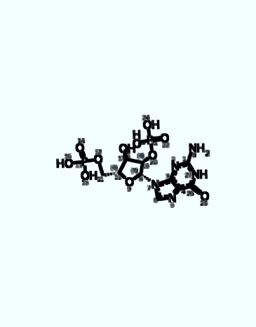 Nc1nc2c(ncn2[C@@H]2O[C@H](COP(=O)(O)O)[C@@H](O)[C@H]2OP(=O)(O)O)c(=O)[nH]1